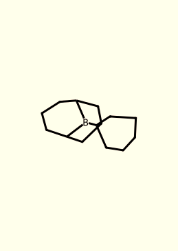 C1CCC(B2C3CCCC2CCC3)CC1